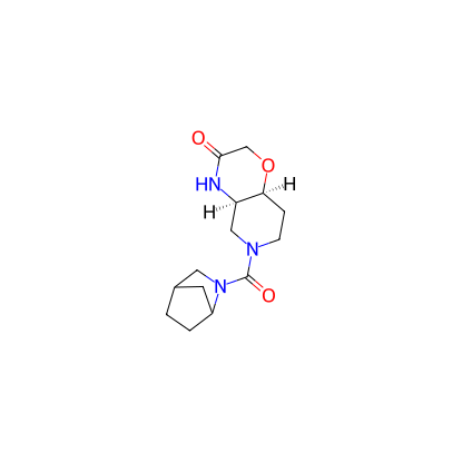 O=C1CO[C@H]2CCN(C(=O)N3CC4CCC3C4)C[C@H]2N1